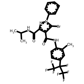 Cc1cc(C(F)(C(F)(F)F)C(F)(F)F)ccc1NC(=O)c1c(C(=O)NC(C)C)nn(-c2ccccc2)c1Br